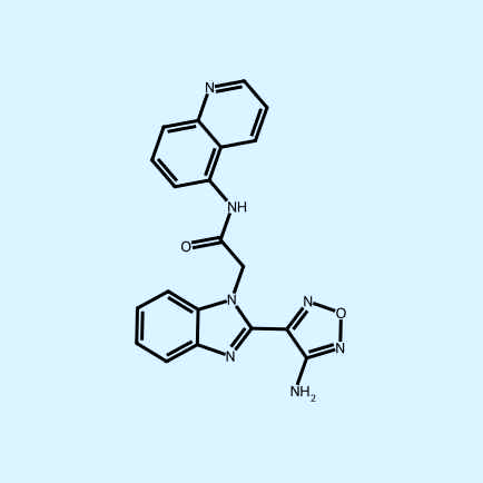 Nc1nonc1-c1nc2ccccc2n1CC(=O)Nc1cccc2ncccc12